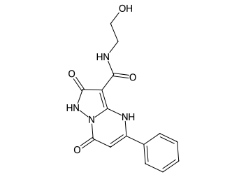 O=C(NCCO)c1c(=O)[nH]n2c(=O)cc(-c3ccccc3)[nH]c12